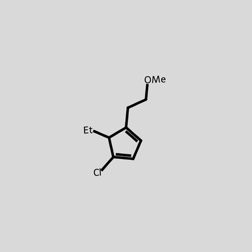 CCC1C(Cl)=CC=C1CCOC